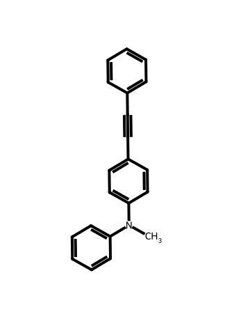 CN(c1ccccc1)c1ccc(C#Cc2ccccc2)cc1